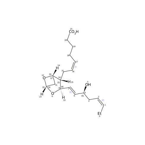 CC/C=C\C[C@H](O)/C=C/[C@H]1O[C@H]2C[C@H](O2)[C@@H]1C/C=C\CCCC(=O)O